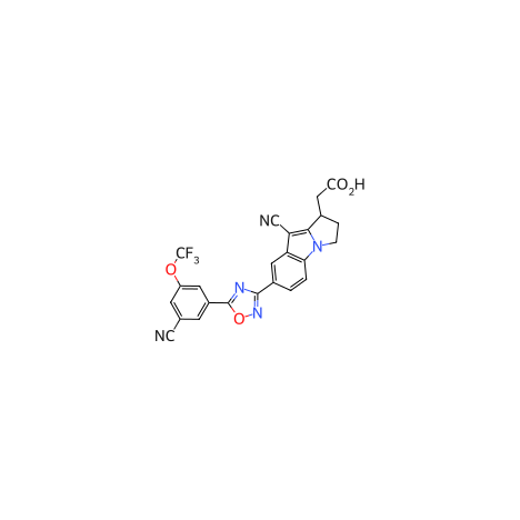 N#Cc1cc(OC(F)(F)F)cc(-c2nc(-c3ccc4c(c3)c(C#N)c3n4CCC3CC(=O)O)no2)c1